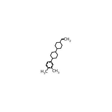 C=CC1CCC(C2CCC(c3ccc(C)c(C)c3)CC2)CC1